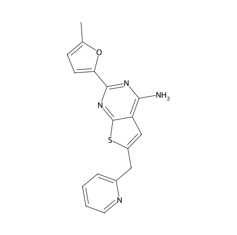 Cc1ccc(-c2nc(N)c3cc(Cc4ccccn4)sc3n2)o1